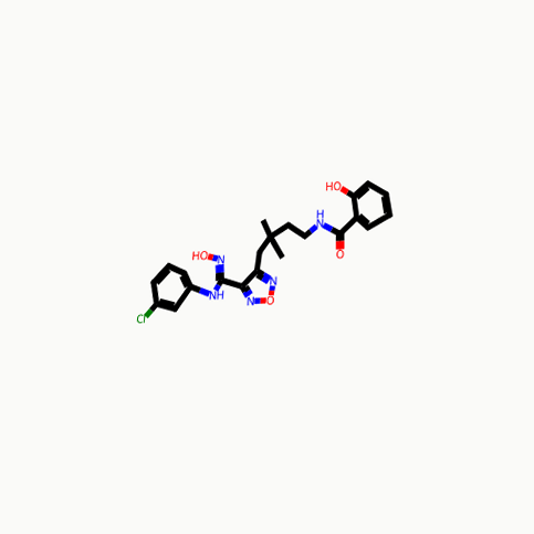 CC(C)(CCNC(=O)c1ccccc1O)Cc1nonc1C(=NO)Nc1cccc(Cl)c1